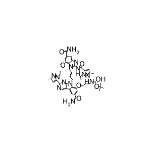 CCn1nc(C)cc1C(=O)Nc1nc2cc(C(N)=O)cc(OC)c2n1C/C=C/Cn1c2nc(-c3cc(C)nn3CC)ncc2c2cc(C(N)=O)cc(OCCCNC(O)OC(C)(C)C)c21